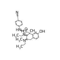 CCN(C)[C@@H]1Cc2ccc(O)cc2C(C)(C)[C@@H]1N(CC)C(=O)Nc1ccc(C#N)cc1